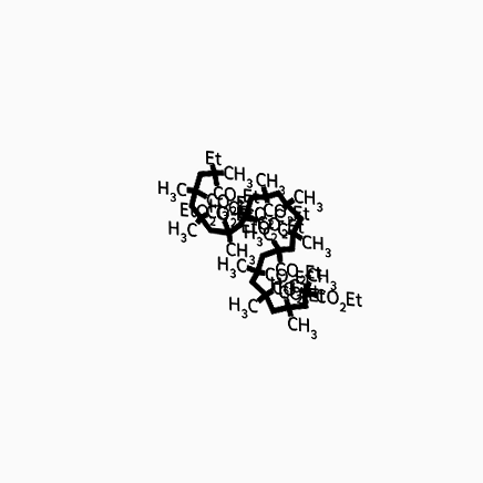 CCOC(=O)C(C)(C)CC(C)(CC(C)(CC(C)(CC(C)(CC(C)(CC(C)(CC(C)(CC(C)(CC(C)(CC(C)(CC(C)(CC(C)(CC)C(=O)OCC)C(=O)OCC)C(=O)OCC)C(=O)OCC)C(=O)OCC)C(=O)OCC)C(=O)OCC)C(=O)OCC)C(=O)OCC)C(=O)OCC)C(=O)OCC)C(=O)OCC